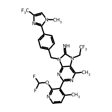 Cc1ccnc(OC(F)F)c1-c1nc(C)c2c(n1)n(Cc1ccc(-c3nc(C(F)(F)F)cn3C)cc1)c(=N)n2CC(F)(F)F